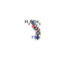 CN(C)CC1CCc2cc(Oc3ccc(-c4ccn[nH]4)cc3)ccc2O1